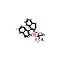 CC(C)C(C)(C)[SiH2]Oc1ccc2ccccc2c1-c1c(O)ccc2ccccc12